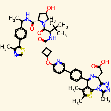 Cc1ncsc1-c1ccc(C(C)NC(=O)[C@@H]2C[C@@H](O)CN2C(=O)C(NC(=O)[C@H]2C[C@H](Oc3ccc(-c4ccc(C5=N[C@@H](CC(=O)O)c6nnc(C)n6-c6sc(C)c(C)c65)cc4)cn3)C2)C(C)(C)C)cc1